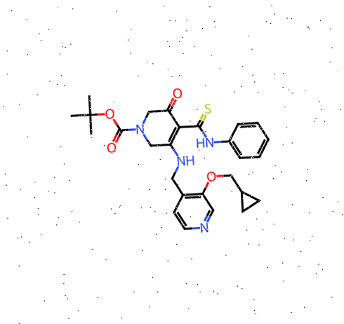 CC(C)(C)OC(=O)N1CC(=O)C(C(=S)Nc2ccccc2)=C(NCc2ccncc2OCC2CC2)C1